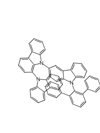 c1ccc(-c2cccc(-c3ccccc3)c2-n2c3ccccc3c3cc(-n4c5ccccc5c5cccc(-n6c7ccccc7c7ccccc76)c54)ccc32)cc1